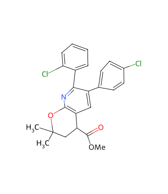 COC(=O)C1CC(C)(C)Oc2nc(-c3ccccc3Cl)c(-c3ccc(Cl)cc3)cc21